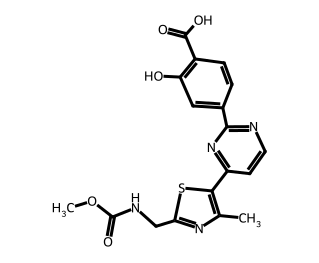 COC(=O)NCc1nc(C)c(-c2ccnc(-c3ccc(C(=O)O)c(O)c3)n2)s1